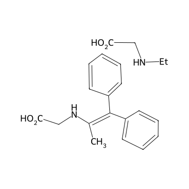 CC(NCC(=O)O)=C(c1ccccc1)c1ccccc1.CCNCC(=O)O